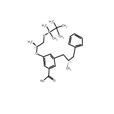 C[C@@H](Cc1ccccc1)Cc1cc(O[C@@H](C)CO[Si](C)(C)C(C)(C)C)cc(C(=O)O)c1